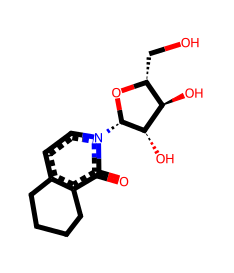 O=c1c2c(ccn1[C@@H]1O[C@H](CO)[C@@H](O)[C@@H]1O)CCCC2